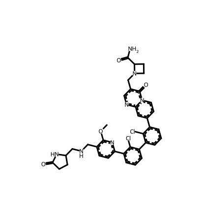 COc1nc(-c2cccc(-c3cccc(-c4ccn5c(=O)c(CN6CCC6C(N)=O)cnc5c4)c3Cl)c2Cl)ccc1CNCC1CCC(=O)N1